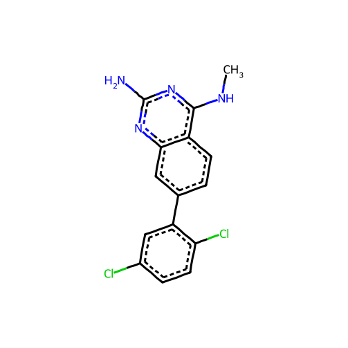 CNc1nc(N)nc2cc(-c3cc(Cl)ccc3Cl)ccc12